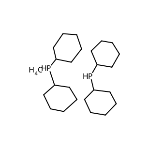 C.C1CCC(PC2CCCCC2)CC1.C1CCC(PC2CCCCC2)CC1